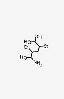 CCC(CC(CC)C(O)O)C(N)O